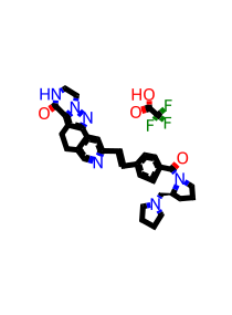 O=C(O)C(F)(F)F.O=C1NCCn2nc3c(c21)CCc1cnc(C=Cc2ccc(C(=O)N4CCC[C@H]4CN4CCCC4)cc2)cc1-3